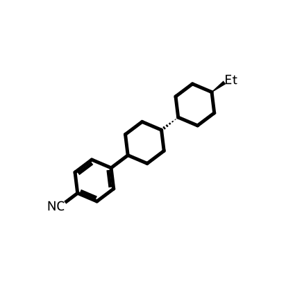 CC[C@H]1CC[C@H](C2CCC(c3ccc(C#N)cc3)CC2)CC1